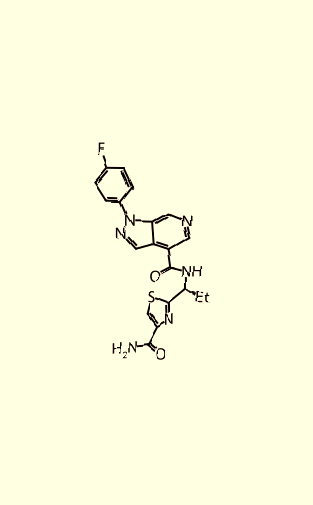 CC[C@H](NC(=O)c1cncc2c1cnn2-c1ccc(F)cc1)c1nc(C(N)=O)cs1